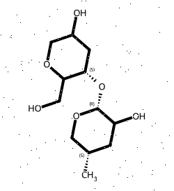 C[C@@H]1CO[C@H](O[C@H]2CC(O)COC2CO)C(O)C1